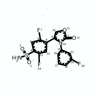 NS(=O)(=O)c1cc(F)c(-c2coc(=O)n2-c2cccc(F)c2)cc1F